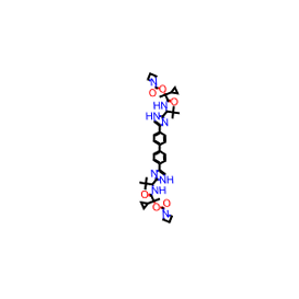 CC(OC(=O)N1CCC1)(C(=O)N[C@H](c1nc(-c2ccc(-c3ccc(-c4c[nH]c([C@@H](NC(=O)C(C)(OC(=O)N5CCC5)C5CC5)C(C)(C)C)n4)cc3)cc2)c[nH]1)C(C)(C)C)C1CC1